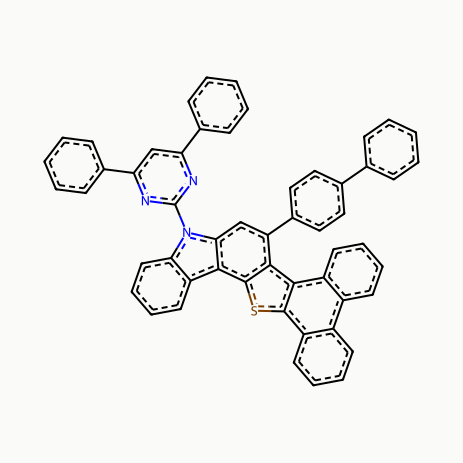 c1ccc(-c2ccc(-c3cc4c(c5ccccc5n4-c4nc(-c5ccccc5)cc(-c5ccccc5)n4)c4sc5c6ccccc6c6ccccc6c5c34)cc2)cc1